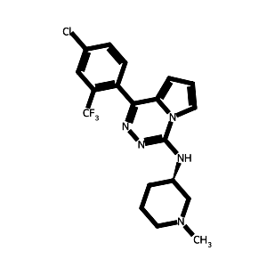 CN1CCC[C@@H](Nc2nnc(-c3ccc(Cl)cc3C(F)(F)F)c3cccn23)C1